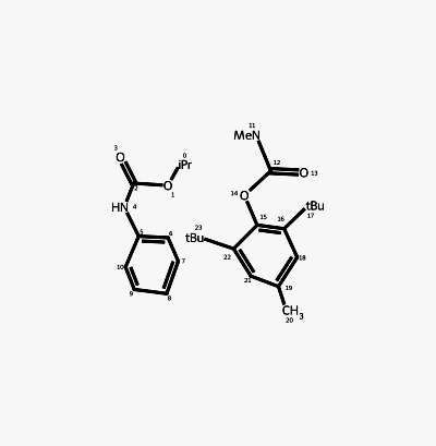 CC(C)OC(=O)Nc1ccccc1.CNC(=O)Oc1c(C(C)(C)C)cc(C)cc1C(C)(C)C